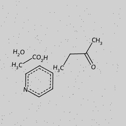 CC(=O)O.CCC(C)=O.O.c1ccncc1